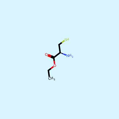 CCOC(=O)[C@H](N)CS